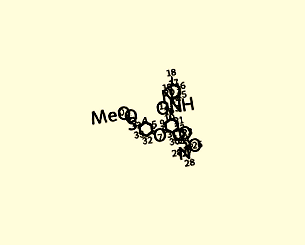 COOSc1ccc(Oc2cc(C(=O)Nc3ccc(C)cn3)cc3oc(C(=O)N(C)C)cc23)cc1